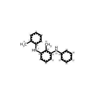 Cc1ccccc1Nc1cccc(Nc2ccccc2)c1C